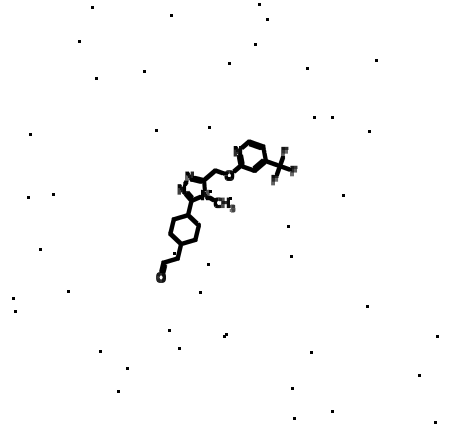 Cn1c(COc2cc(C(F)(F)F)ccn2)nnc1C1CCC(CC=O)CC1